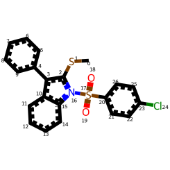 CSc1c(-c2ccccc2)c2ccccc2n1S(=O)(=O)c1ccc(Cl)cc1